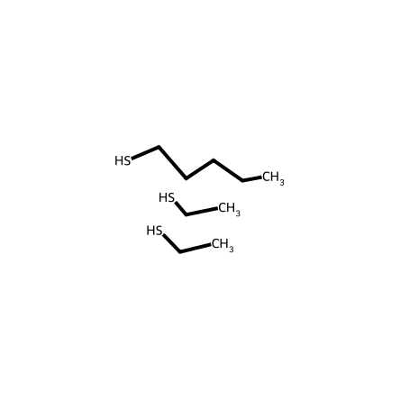 CCCCCS.CCS.CCS